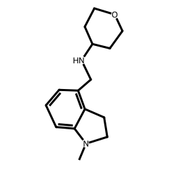 CN1CCc2c(CNC3CCOCC3)cccc21